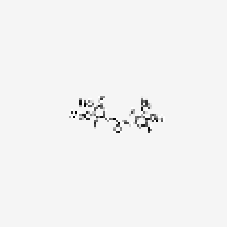 COc1c(O)c(F)cc(/C=C/C(=O)/C=C/c2cc(F)c(O)c(C)c2F)c1F